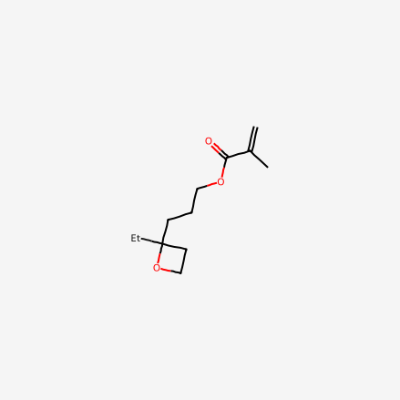 C=C(C)C(=O)OCCCC1(CC)CCO1